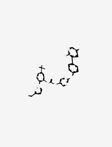 Nc1ncc(Cl)cc1-c1ccc(Oc2ncc(NC(=O)Nc3cc(C(F)(F)F)ccc3-n3ccc(CF)n3)cn2)cc1